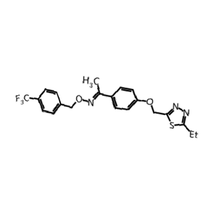 CCc1nnc(COc2ccc(C(C)=NOCc3ccc(C(F)(F)F)cc3)cc2)s1